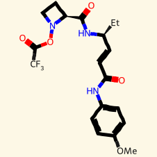 CC[C@@H](/C=C/C(=O)Nc1ccc(OC)cc1)NC(=O)[C@@H]1CCN1OC(=O)C(F)(F)F